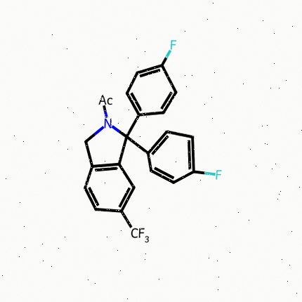 [CH2]C(=O)N1Cc2ccc(C(F)(F)F)cc2C1(c1ccc(F)cc1)c1ccc(F)cc1